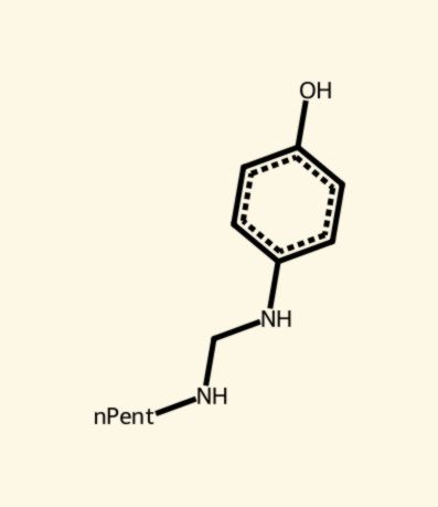 CCCCCNCNc1ccc(O)cc1